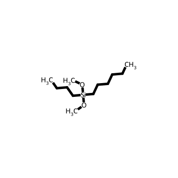 CCCCCC[Si](CCCC)(OC)OC